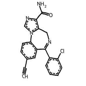 C#Cc1ccc2c(c1)C(c1ccccc1Cl)=NCc1c(C(N)=O)ncn1-2